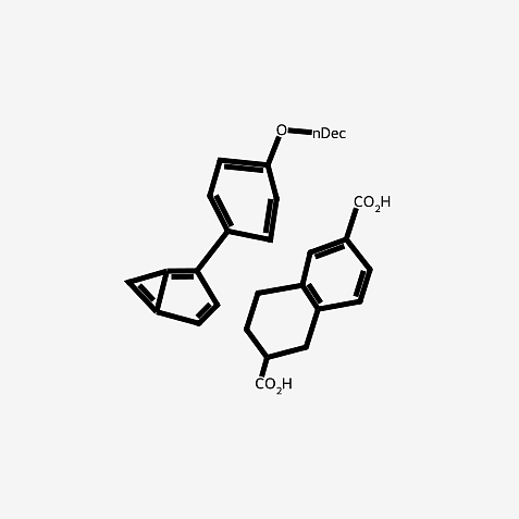 CCCCCCCCCCOc1ccc(-c2ccc3cc2-3)cc1.O=C(O)c1ccc2c(c1)CCC(C(=O)O)C2